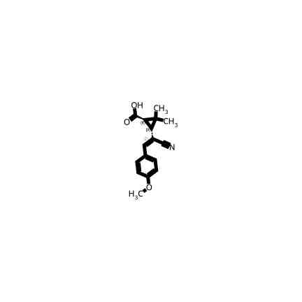 COc1ccc(/C=C(\C#N)[C@@H]2[C@@H](C(=O)O)C2(C)C)cc1